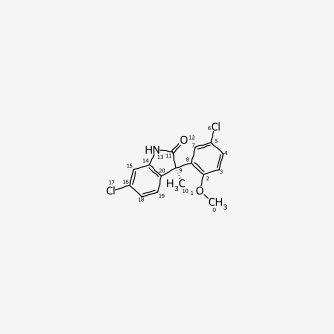 COc1ccc(Cl)cc1[C@]1(C)C(=O)Nc2cc(Cl)ccc21